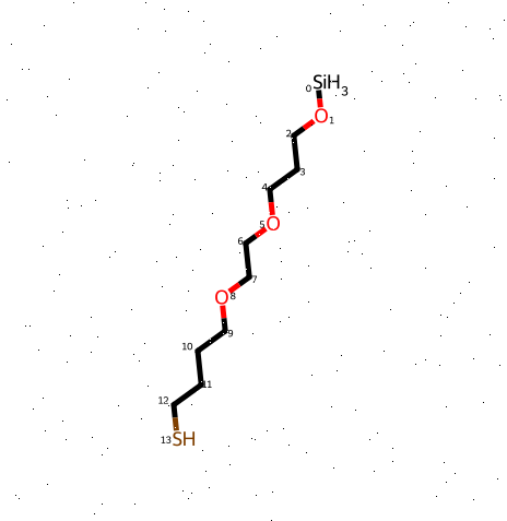 [SiH3]OCCCOCCOCCCCS